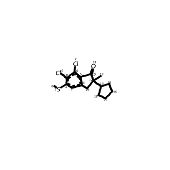 CSc1cc2c(c(Cl)c1Cl)C(=O)C(C)(C1CCCC1)C2